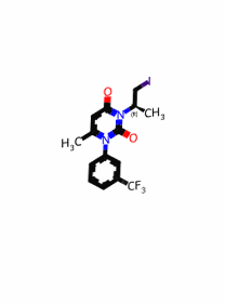 Cc1cc(=O)n([C@H](C)CI)c(=O)n1-c1cccc(C(F)(F)F)c1